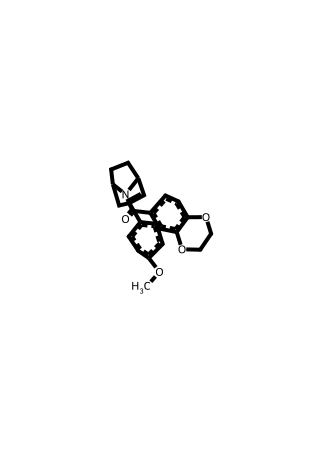 COc1ccc(C2=CC3CCC(C2)N3C(=O)c2ccc3c(c2)OCCO3)cc1